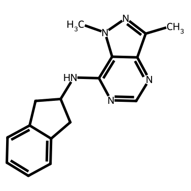 Cc1nn(C)c2c(NC3Cc4ccccc4C3)ncnc12